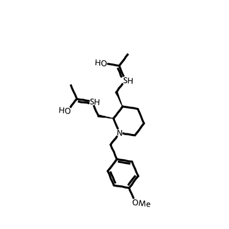 COc1ccc(CN2CCC[C@H](C[SH]=C(C)O)[C@@H]2C[SH]=C(C)O)cc1